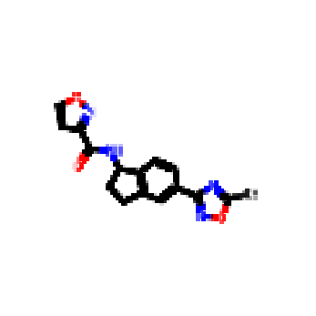 CCc1nc(-c2ccc3c(c2)CCC3NC(=O)c2ccon2)no1